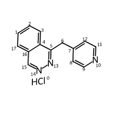 Cl.c1ccc2c(Cc3ccncc3)nncc2c1